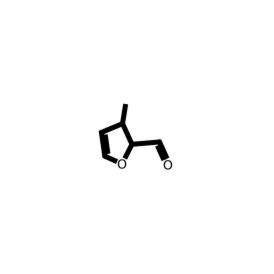 CC1C=COC1C=O